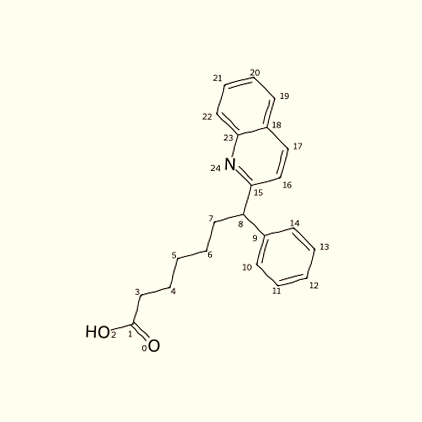 O=C(O)CCCCCC(c1ccccc1)c1ccc2ccccc2n1